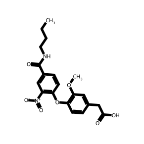 CCCCNC(=O)c1ccc(Oc2ccc(CC(=O)O)cc2OC)c([N+](=O)[O-])c1